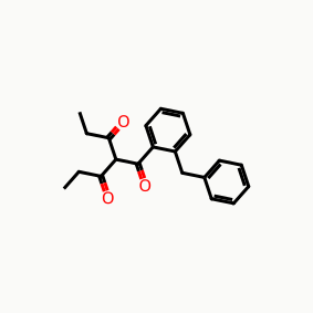 CCC(=O)C(C(=O)CC)C(=O)c1ccccc1Cc1ccccc1